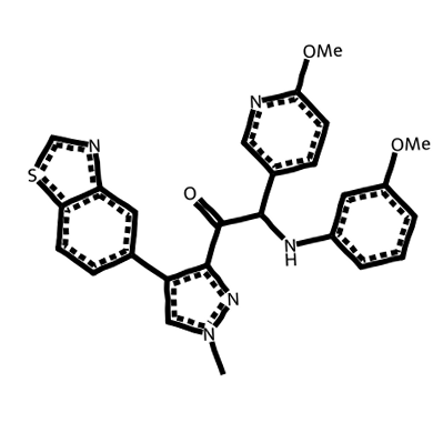 COc1cccc(NC(C(=O)c2nn(C)cc2-c2ccc3scnc3c2)c2ccc(OC)nc2)c1